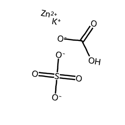 O=C([O-])O.O=S(=O)([O-])[O-].[K+].[Zn+2]